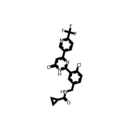 O=C(NCc1ccc(Cl)c(-c2nc(-c3ccc(C(F)(F)F)nc3)cc(=O)[nH]2)c1)C1CC1